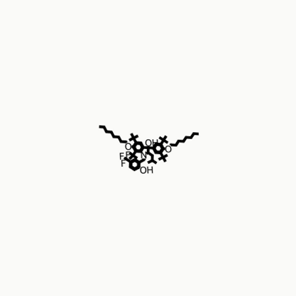 CCCCCCCCOc1c(C(C)(C)C)cc(C(O)(c2cc(C(C)(C)C)c(OCCCCCCCC)c(C(C)(C)C)c2)C(CC(C)C)N=Cc2cc(C(F)(F)F)ccc2O)cc1C(C)(C)C